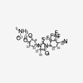 CNC(=O)[C@@H]1COc2cc(N3C(=S)N(c4ccc(C#N)c(C(F)(F)F)c4F)C(=O)C3(C)C)ccc2O1